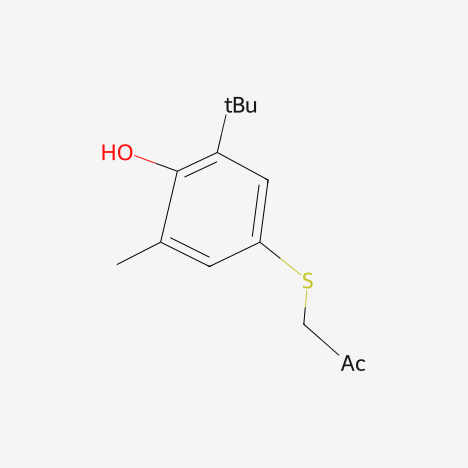 CC(=O)CSc1cc(C)c(O)c(C(C)(C)C)c1